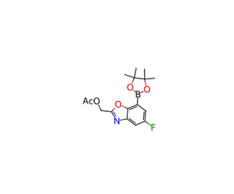 CC(=O)OCc1nc2cc(F)cc(B3OC(C)(C)C(C)(C)O3)c2o1